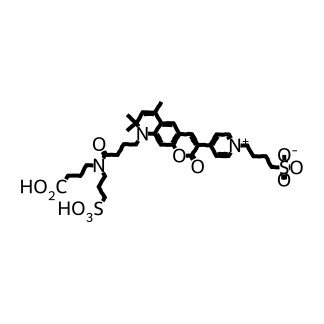 CC1=CC(C)(C)N(CCCC(=O)N(CCCC(=O)O)CCCS(=O)(=O)O)c2cc3oc(=O)c(-c4cc[n+](CCCCS(=O)(=O)[O-])cc4)cc3cc21